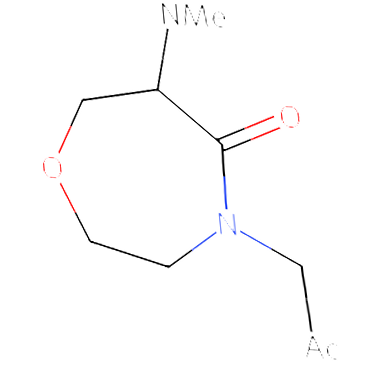 CNC1COCCN(CC(C)=O)C1=O